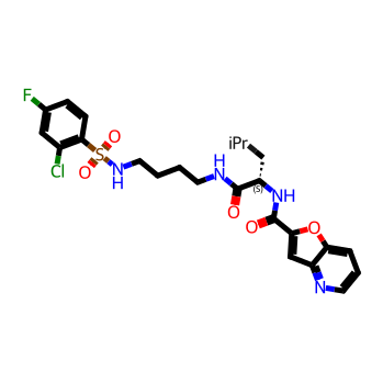 CC(C)C[C@H](NC(=O)c1cc2ncccc2o1)C(=O)NCCCCNS(=O)(=O)c1ccc(F)cc1Cl